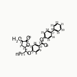 C=C1CC(C(CCC)Oc2ccc(C(=O)Oc3ccc(-c4ccccc4)cc3)cc2)OC1=O